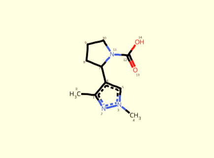 Cc1nn(C)cc1C1CCCN1C(=O)O